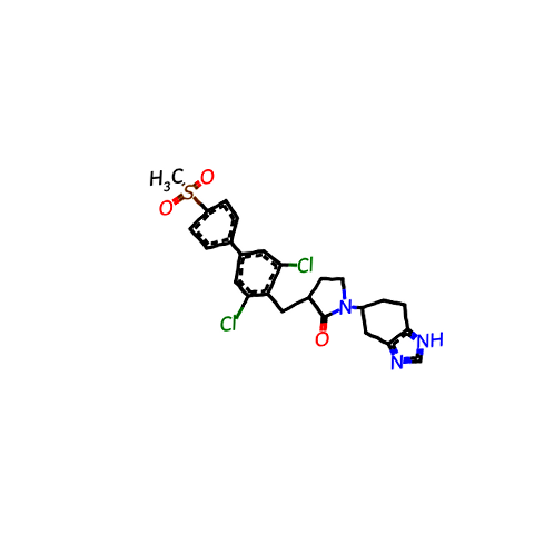 CS(=O)(=O)c1ccc(-c2cc(Cl)c(CC3CCN(C4CCc5[nH]cnc5C4)C3=O)c(Cl)c2)cc1